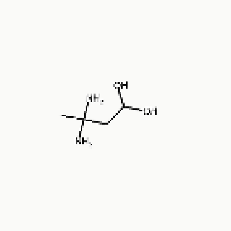 CC(N)(N)CC(O)O